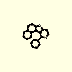 c1ccc(-c2nccc3sc4ccc5ccccc5c4c23)cc1